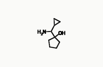 NC(C1CC1)C1(O)CCCC1